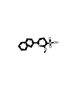 COc1nc(-c2ccc3ccccc3c2)ccc1S(=O)(=O)O